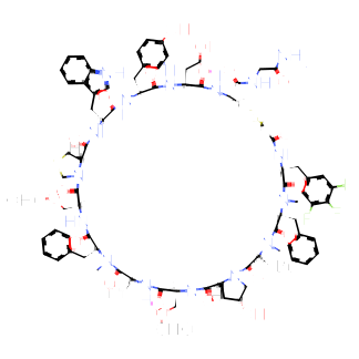 CCCC[C@H]1C(=O)N2C[C@H](O)C[C@@H]2C(=O)N[C@@H](COC=O)C(=O)N[C@@H](C(C)C)C(=O)N(C)[C@@H](Cc2ccccc2)C(=O)N[C@@H](COC=O)C(=O)N2CSC[C@@H]2C(=O)N[C@@H](Cc2c[nH]c3ccccc23)C(=O)N[C@@H](Cc2ccc(O)cc2)C(=O)N[C@@H](CCO)C(=O)N[C@H](C(=O)NCC(N)=O)CSCC(=O)N[C@@H](Cc2cc(F)c(F)c(F)c2)C(=O)N(C)[C@@H](Cc2ccccc2)C(=O)N1C